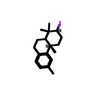 Cc1ccc2c(c1)[C@@]1(C)CC[C@H](I)C(C)(C)C1CC2